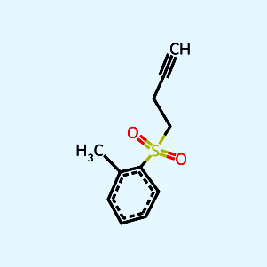 C#CCCS(=O)(=O)c1ccccc1C